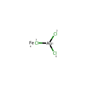 [Cl][Au]([Cl])[Cl].[Fe]